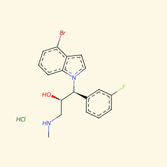 CNC[C@@H](O)[C@H](c1cccc(F)c1)n1ccc2c(Br)cccc21.Cl